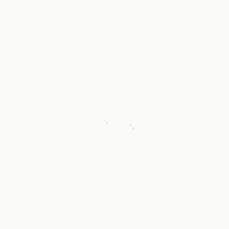 C=CN1CCN(CC2CCCCC2)CC1